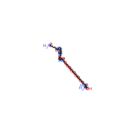 NC(=O)CCCCCNC(=O)c1cccc(Cn2cc(COc3cccc(C(=O)NCCOCCOCCOCCOCCOCCOCCOCCOCCOCCNC(=O)[C@@H](N)CO)c3)nn2)c1